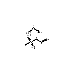 C=CCS(C)(=O)=O.CCOCC